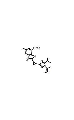 C=C(C)c1nc(C2CC2c2nc3c(OC)cc(C)cn3c2C)nn1/C(C)=C\C